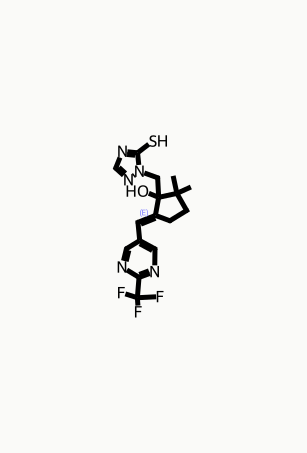 CC1(C)CC/C(=C\c2cnc(C(F)(F)F)nc2)C1(O)Cn1ncnc1S